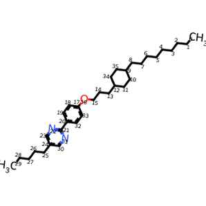 CCCCCCCCCC1CCC(CCCOc2ccc(-c3ncc(CCCCC)cn3)cc2)CC1